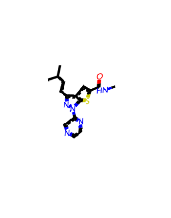 CNC(=O)c1cc2c(C=CC(C)C)nn(-c3cnccn3)c2s1